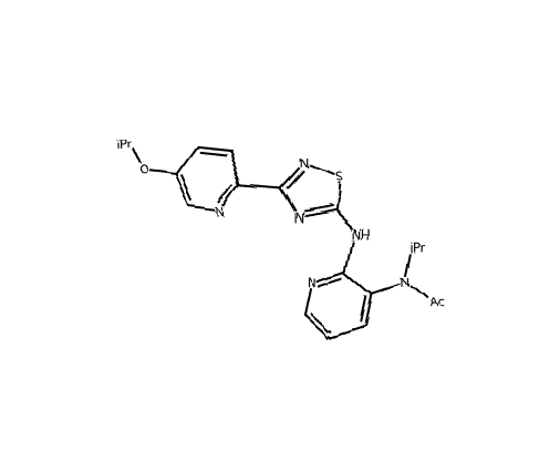 CC(=O)N(c1cccnc1Nc1nc(-c2ccc(OC(C)C)cn2)ns1)C(C)C